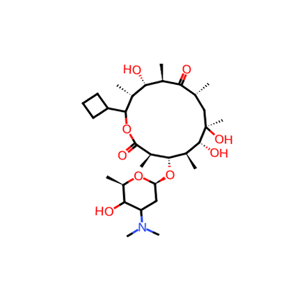 C[C@H]1[C@H](O[C@H]2CC(N(C)C)C(O)[C@@H](C)O2)[C@@H](C)C(=O)OC(C2CCC2)[C@H](C)[C@H](O)[C@@H](C)C(=O)[C@H](C)C[C@@](C)(O)[C@@H]1O